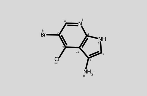 Nc1c[nH]c2ncc(Br)c(Cl)c12